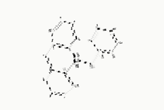 C1=CCC(=Cc2ccccc2)C(NCc2ccccc2)=C1